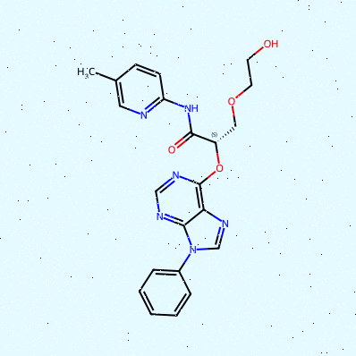 Cc1ccc(NC(=O)[C@H](COCCO)Oc2ncnc3c2ncn3-c2ccccc2)nc1